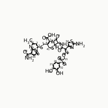 Cc1cc(SCC2=C(C(=O)O)N3C(=O)[C@@H](NC(=O)/C(=N\OCS(=O)(=O)c4ccc(O)c(O)c4)c4csc(N)n4)[C@H]3SC2)n2ncc(C(N)=O)c2n1